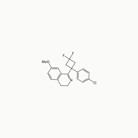 COc1ccc2c(c1)C(C1(c3ccc(Cl)cc3)CC(F)(F)C1)=NCC2